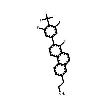 CCCc1ccc2c(ccc3c(F)c(-c4cc(F)c(C(F)(F)F)c(F)c4)ccc32)c1